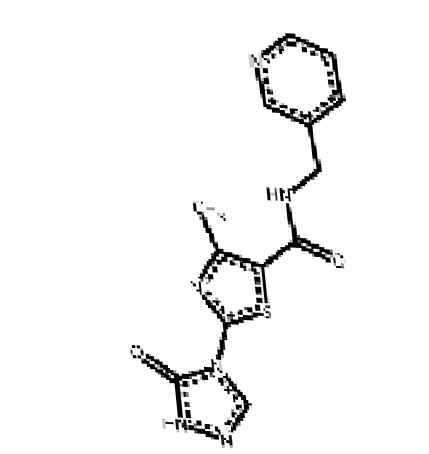 Cc1nc(-n2cn[nH]c2=O)sc1C(=O)NCc1cccnc1